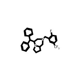 Fc1ccc(C(F)(F)F)cc1CN1CC2CCCN2C(C(c2ccccc2)c2ccccc2)C1